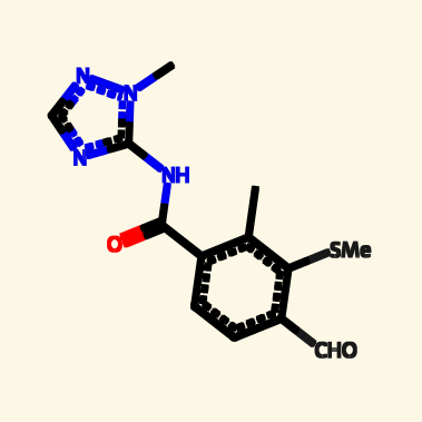 CSc1c(C=O)ccc(C(=O)Nc2ncnn2C)c1C